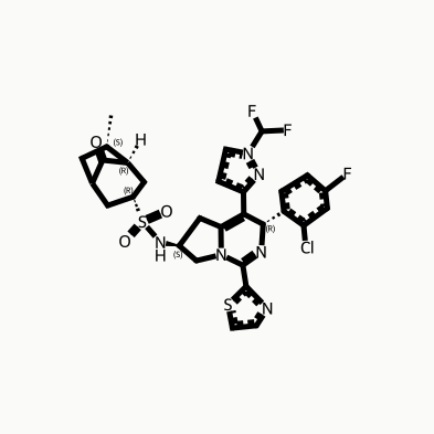 C[C@H]1CC2C[C@@H](S(=O)(=O)N[C@H]3CC4=C(c5ccn(C(F)F)n5)[C@H](c5ccc(F)cc5Cl)N=C(c5nccs5)N4C3)C[C@H]1C2=O